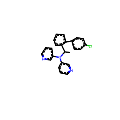 CC(c1ccccc1-c1ccc(Cl)cc1)N(c1cccnc1)c1cccnc1